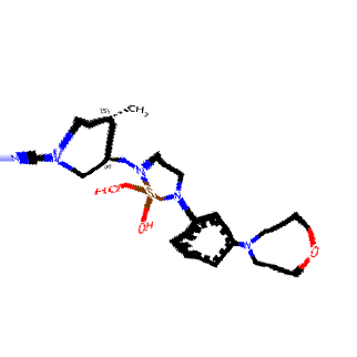 C[C@H]1CN(C#N)C[C@@H]1N1CCN(c2cccc(N3CCOCC3)c2)S1(O)O